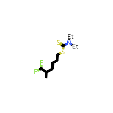 CCN(CC)C(=S)SCCC=CC(C)C(F)F